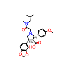 COc1ccc([C@@H]2[C@@H](C(=O)O)[C@@H](c3ccc4c(c3)OCO4)CN2CC(=O)N(C)CC(C)C)cc1